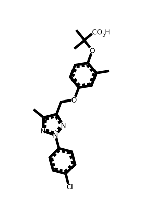 Cc1cc(OCc2nn(-c3ccc(Cl)cc3)nc2C)ccc1OC(C)(C)C(=O)O